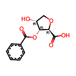 O=C(O[C@@H]1[C@H](O)CO[C@H]1C(=O)O)c1ccccc1